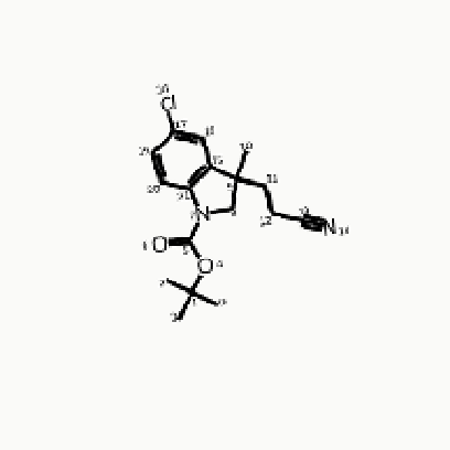 CC(C)(C)OC(=O)N1CC(C)(CCC#N)c2cc(Cl)ccc21